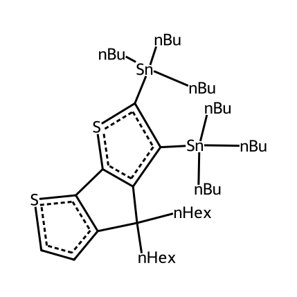 CCCCCCC1(CCCCCC)c2ccsc2-c2s[c]([Sn]([CH2]CCC)([CH2]CCC)[CH2]CCC)[c]([Sn]([CH2]CCC)([CH2]CCC)[CH2]CCC)c21